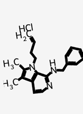 C=CCCn1c(C)c(C)c2ccnc(NCc3ccccc3)c21.Cl